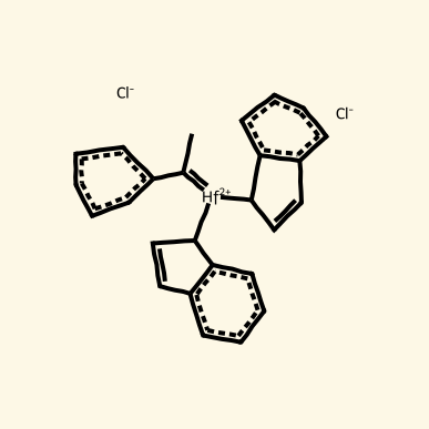 C[C](c1ccccc1)=[Hf+2]([CH]1C=Cc2ccccc21)[CH]1C=Cc2ccccc21.[Cl-].[Cl-]